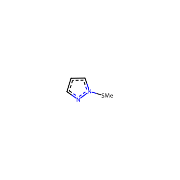 CSn1cccn1